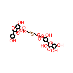 O=C(OCCSSCCOC(=O)Oc1cc(O)cc2occ(-c3ccc(O)cc3)c(=O)c12)Oc1ccc(-c2oc3cc(O)cc(O)c3c(=O)c2O)cc1O